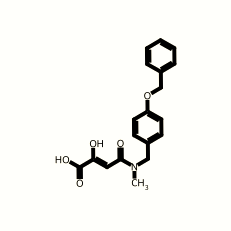 CN(Cc1ccc(OCc2ccccc2)cc1)C(=O)C=C(O)C(=O)O